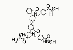 CN(C)C(=O)N1CCC2(CC1)c1ccc(N3CCC4(CC3)c3ccccc3C(=O)N4Cc3ccc(C(=O)NO)cc3)cc1C(=O)N2Cc1ccc(C(=O)NO)cc1